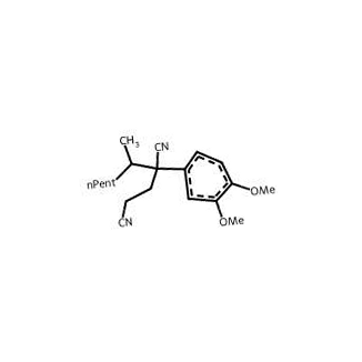 CCCCCC(C)C(C#N)(CCC#N)c1ccc(OC)c(OC)c1